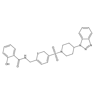 O=C(NCC1=CC=C(S(=O)(=O)N2CCC(n3nnc4ccccc43)CC2)CS1)c1ccccc1O